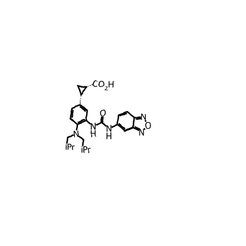 CC(C)CN(CC(C)C)c1ccc([C@@H]2C[C@@H]2C(=O)O)cc1NC(=O)Nc1ccc2nonc2c1